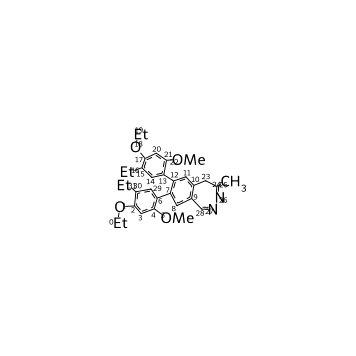 CCOc1cc(OC)c(-c2cc3c(cc2-c2cc(CC)c(OCC)cc2OC)CC(C)=NN=C3)cc1CC